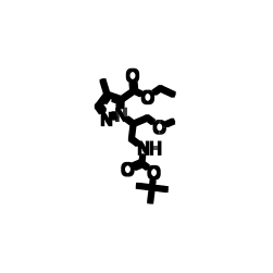 CCOC(=O)c1c(C)cnn1C(CNC(=O)OC(C)(C)C)COC